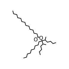 CCCCCCCCCCCCCC(=O)OC(CCCCCCCCC)(C(C)CCCC)C(C)CCCC